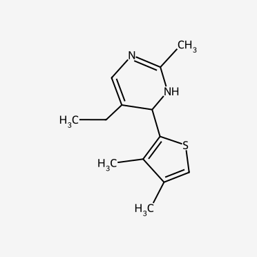 CCC1=CN=C(C)NC1c1scc(C)c1C